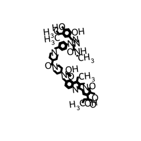 CCNC(=O)c1nnc(-c2cc(C(C)C)c(O)cc2O)n1-c1ccc(CN2CCC(C(=O)N3CCC(N(Cc4ccc5nc6c(c(CC)c5c4)Cn4c-6cc5c(c4=O)COC(=O)C5(O)CC)C(=O)O)CC3)CC2)cc1